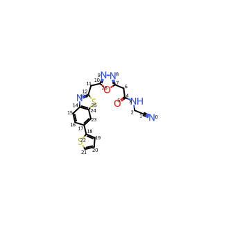 N#CCNC(=O)Cc1nnc(Cc2nc3ccc(-c4cccs4)cc3s2)o1